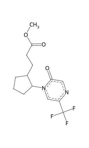 COC(=O)CCC1CCCC1n1cc(C(F)(F)F)ncc1=O